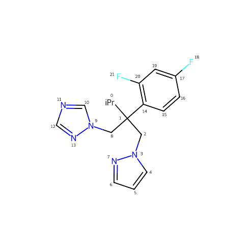 CC(C)C(Cn1cccn1)(Cn1cncn1)c1ccc(F)cc1F